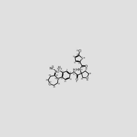 Cc1cc(NC(=O)C2(NC(=O)c3ccc(Cl)s3)CCOC2)ccc1N1CCOCCC1=NC#N